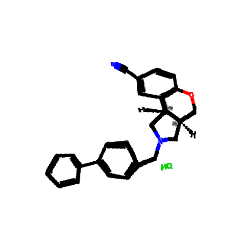 Cl.N#Cc1ccc2c(c1)[C@H]1CN(Cc3ccc(-c4ccccc4)cc3)C[C@@H]1CO2